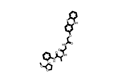 COC1OCC[C@H]1c1ccccc1NC(=O)C(C)NC(=O)CNC(=O)COc1ccc2c(c1)Nc1ccccc1S2